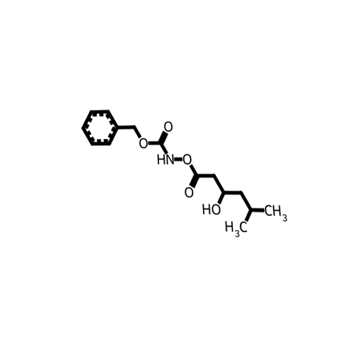 CC(C)CC(O)CC(=O)ONC(=O)OCc1ccccc1